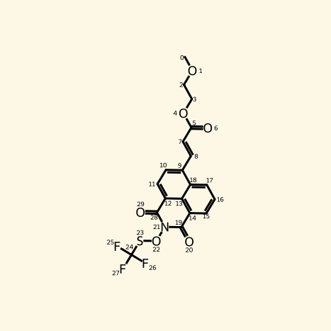 COCCOC(=O)/C=C/c1ccc2c3c(cccc13)C(=O)N(OSC(F)(F)F)C2=O